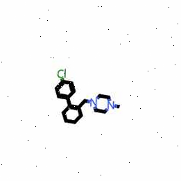 CN1CCN(CC2=C(c3ccc(Cl)cc3)CCCC2)CC1